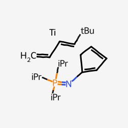 C=CC=CC(C)(C)C.CC(C)P(=NC1=CC=CC1)(C(C)C)C(C)C.[Ti]